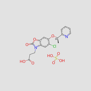 C[C@@H](Oc1cc2oc(=O)n(CCC(=O)O)c2cc1Cl)c1ccccn1.O=S(=O)(O)O